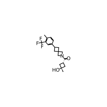 Cc1ccc(C2CC3(C2)CN(C(=O)[C@H]2C[C@@](C)(O)C2)C3)cc1C(F)(F)F